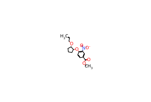 C=CCO[C@H]1CCC[C@@H]1Oc1ccc(C(=O)OC)cc1[N+](=O)[O-]